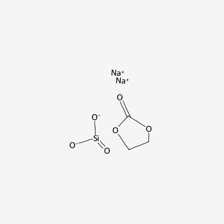 O=C1OCCO1.O=[Si]([O-])[O-].[Na+].[Na+]